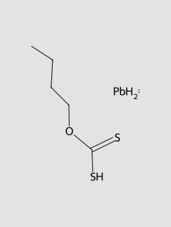 CCCCOC(=S)S.[PbH2]